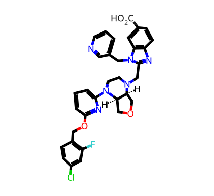 O=C(O)c1ccc2nc(CN3CCN(c4cccc(OCc5ccc(Cl)cc5F)n4)[C@@H]4COC[C@@H]43)n(Cc3cccnc3)c2c1